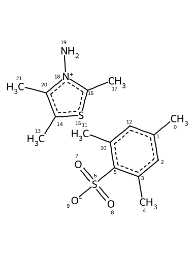 Cc1cc(C)c(S(=O)(=O)[O-])c(C)c1.Cc1sc(C)[n+](N)c1C